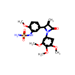 C=C1C(=O)N(c2cc(OC)c(OC)c(OC)c2)C1c1ccc(OC)c(NS(N)(=O)=O)c1